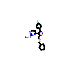 CSc1nccc(-c2c(-c3ccc(F)cc3)noc2COCc2ccccc2)n1